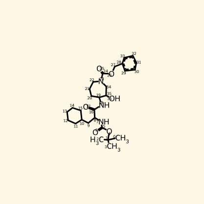 CC(C)(C)OC(=O)NC(CC1CCCCC1)C(=O)NC1CCCN(C(=O)OCc2ccccc2)CC1O